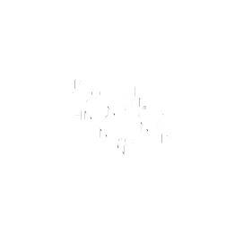 CC(C)(C)OC(=O)NC1=N[C@](C)(c2nc(Br)ccc2F)CS2(=O)=NCCCCN12